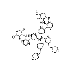 COc1ccc(F)c(Nc2nccnc2-c2cc(N(c3ccc(CN4CCOCC4)cn3)N(c3cc(CN4CCOCC4)ccn3)c3cc(-c4nccnc4Nc4c(F)ccc(OC)c4F)ncn3)ncn2)c1F